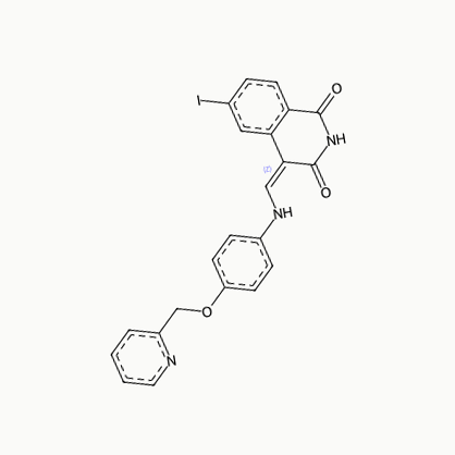 O=C1NC(=O)c2ccc(I)cc2/C1=C/Nc1ccc(OCc2ccccn2)cc1